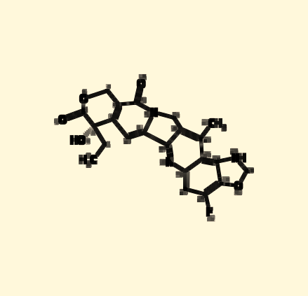 CC[C@@]1(O)C(=O)OCc2c1cc1n(c2=O)Cc2c-1nc1cc(F)c3c(c1c2C)NCO3